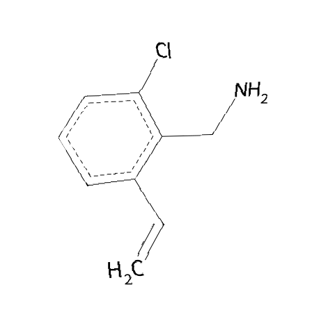 C=Cc1cccc(Cl)c1CN